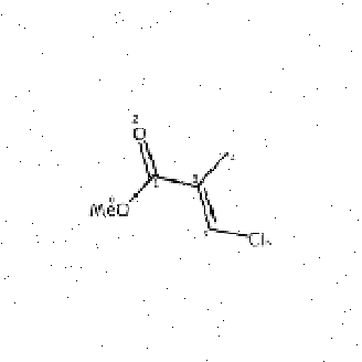 COC(=O)C(C)=CCl